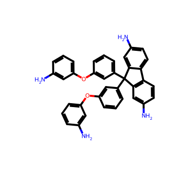 Nc1cccc(Oc2cccc(C3(c4cccc(Oc5cccc(N)c5)c4)c4cc(N)ccc4-c4ccc(N)cc43)c2)c1